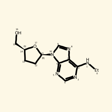 CCNc1ncnc2c1ncn2[C@H]1CC[C@@H](CO)O1